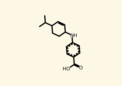 CC(C)C1C=CC(Nc2ccc(C(=O)O)cc2)CC1